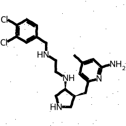 Cc1cc(N)nc(C[C@H]2CNC[C@H]2NCCNCc2ccc(Cl)c(Cl)c2)c1